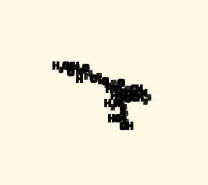 CNC(=O)CNC(=O)CCOCCOCCNC(=O)[C@H](COC(C)(C)C)NC(=O)[C@@H](N)CSC[C@H](O)CO